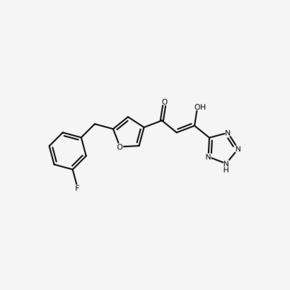 O=C(C=C(O)c1nn[nH]n1)c1coc(Cc2cccc(F)c2)c1